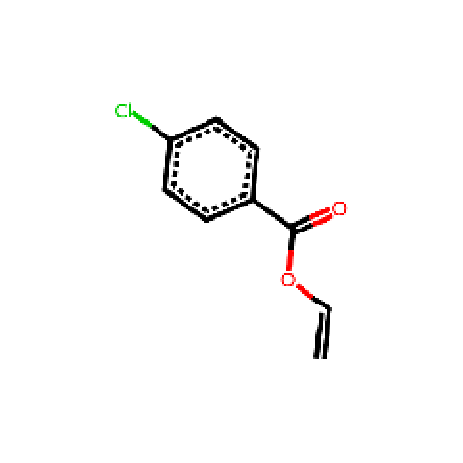 C=COC(=O)c1ccc(Cl)cc1